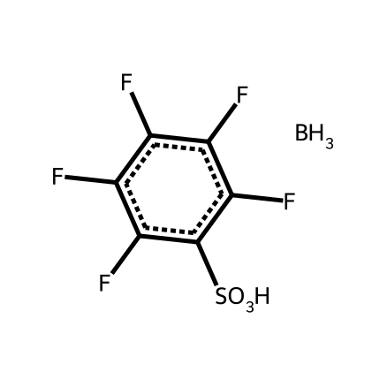 B.O=S(=O)(O)c1c(F)c(F)c(F)c(F)c1F